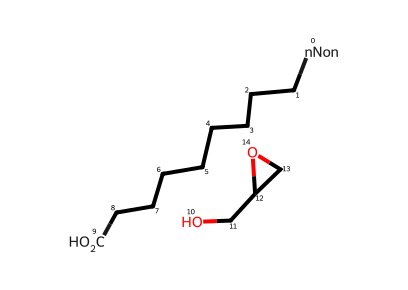 CCCCCCCCCCCCCCCCCC(=O)O.OCC1CO1